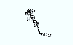 CCCCCCCC/C=C\CCCCCCCC(=O)Oc1ccc(NC(=O)CCNC(=O)C(OC(C)=O)C(C)(C)COC(C)=O)cc1